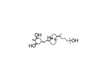 C=C1[C@H](O)CC(=C/C=C2\CCC[C@]3(C)/C(=C(/C)CCCC(C)(C)O)CC[C@@H]23)C[C@H]1O